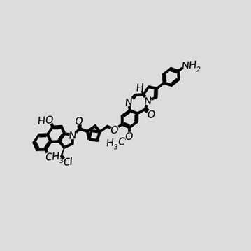 COc1cc2c(cc1OCC13CC(C1)C(C(=O)N1C[C@@H](CCl)c4c1cc(O)c1cccc(C)c41)C3)N=C[C@@H]1CC(c3ccc(N)cc3)=CN1C2=O